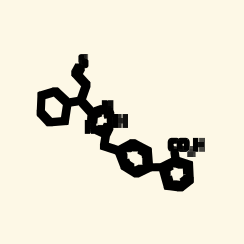 O=C(O)c1ccccc1-c1ccc(Cc2nc(C(CC=S)C3CCCCC3)n[nH]2)cc1